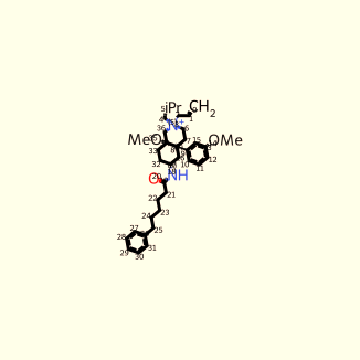 C=CC[N@@+]1(CC(C)C)CC[C@]2(c3cccc(OC)c3)C[C@H](NC(=O)CCCCCc3ccccc3)CCC2(OC)C1